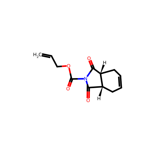 C=CCOC(=O)N1C(=O)[C@H]2CC=CC[C@H]2C1=O